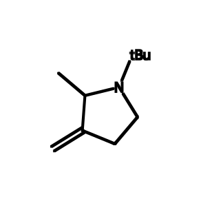 C=C1CCN(C(C)(C)C)C1C